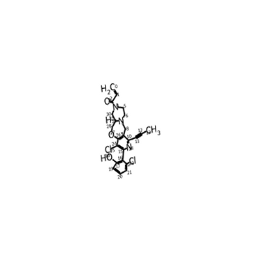 C=CC(=O)N1CCN2Cc3c(C#CC)nc(-c4c(O)cccc4Cl)c(Cl)c3OC[C@H]2C1